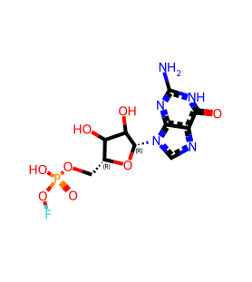 Nc1nc2c(ncn2[C@@H]2O[C@H](COP(=O)(O)OF)C(O)C2O)c(=O)[nH]1